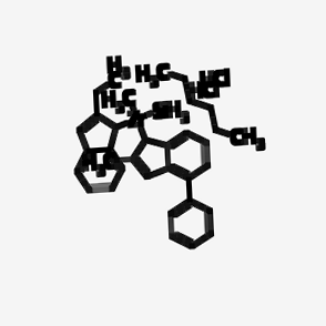 CCC1=Cc2ccccc2[CH]1[Zr]([CH3])([SiH3])[CH]1C(C)=Cc2c(-c3ccccc3)cccc21.CCCCCC.Cl.Cl